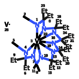 CC[N](C)[V]([N](C)CC)([N](C)CC)([N](C)CC)([N](CC)CC)([N](CC)CC)([N](CC)CC)[N](CC)CC.[V]